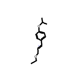 CCOC/C=C/c1ccc(OC(C)C)cc1